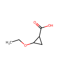 CCOC1CC1C(=O)O